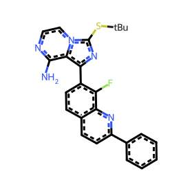 CC(C)(C)Sc1nc(-c2ccc3ccc(-c4ccccc4)nc3c2F)c2c(N)nccn12